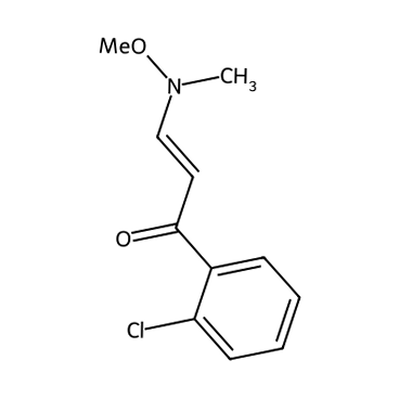 CON(C)C=CC(=O)c1ccccc1Cl